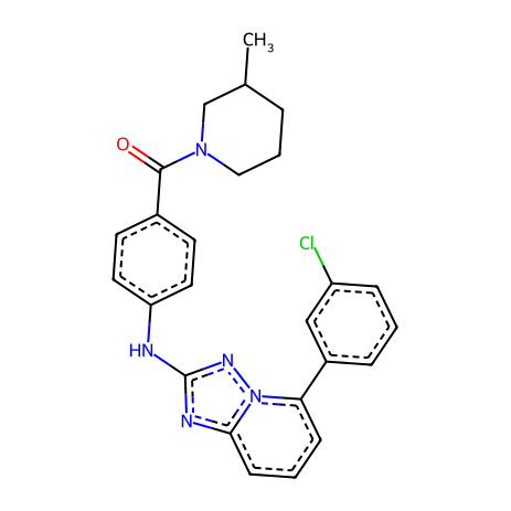 CC1CCCN(C(=O)c2ccc(Nc3nc4cccc(-c5cccc(Cl)c5)n4n3)cc2)C1